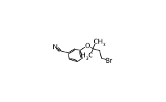 CC(C)(CCBr)Oc1cccc(C#N)c1